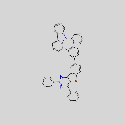 c1ccc(-c2nc(-c3ccccc3)c3sc4ccc(-c5cccc(-c6cccc7c8ccccc8n(-c8ccccc8)c67)c5)cc4c3n2)cc1